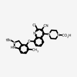 Cc1ccc2c(c1Oc1cccc3c(N4CCN(C(=O)O)CC4)c(C#N)c(Cl)nc13)CN(C(C)(C)C)N2